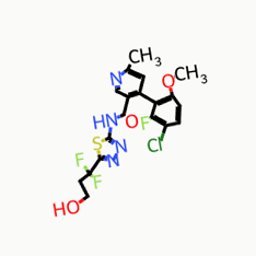 COc1ccc(Cl)c(F)c1-c1cc(C)ncc1C(=O)Nc1nnc(C(F)(F)CCO)s1